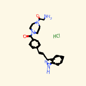 Cl.NCC(=O)N1CCN(C(=O)c2ccc(C=Cc3n[nH]c4ccccc34)cc2)CC1